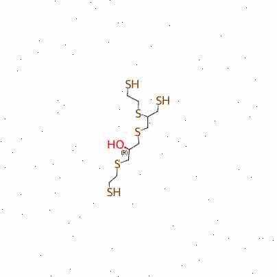 O[C@H](CSCCS)CSCC(CS)SCCS